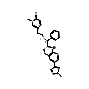 Cn1cc(-c2cnc3c(c2)NC[C@H]([C@H](NCCc2ccc(=O)n(C)c2)c2ccccc2)N3)cn1